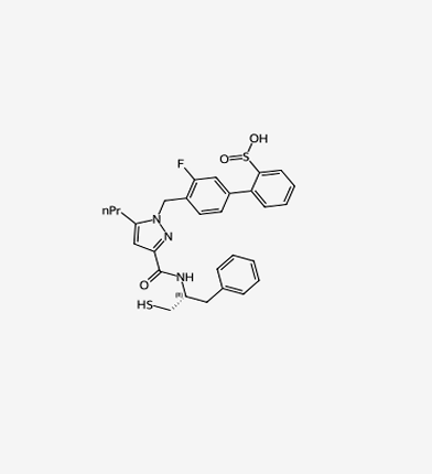 CCCc1cc(C(=O)N[C@@H](CS)Cc2ccccc2)nn1Cc1ccc(-c2ccccc2S(=O)O)cc1F